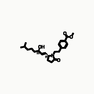 COC(=O)c1ccc(CCN2C(=O)CC[C@@H]2C=C[C@H](O)CCCC(C)C)cc1